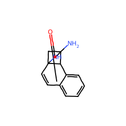 NC12CC3(C=Cc4ccccc4C31)NC2=O